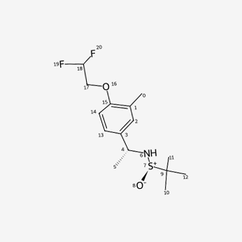 Cc1cc([C@@H](C)N[S@+]([O-])C(C)(C)C)ccc1OCC(F)F